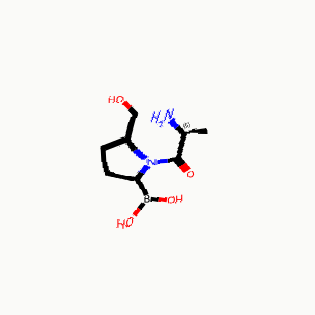 C[C@H](N)C(=O)N1C(CO)CCC1B(O)O